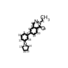 CCn1ncc2cc(-c3cccc(N4CCCC4)c3)ccc2c1=O